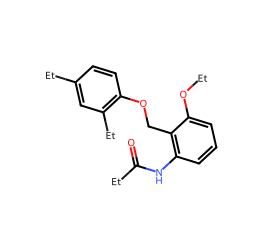 CCOc1cccc(NC(=O)CC)c1COc1ccc(CC)cc1CC